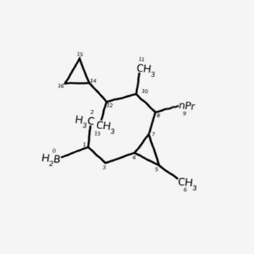 BC(C)CC1C(C)C1C(CCC)C(C)C(C)C1CC1